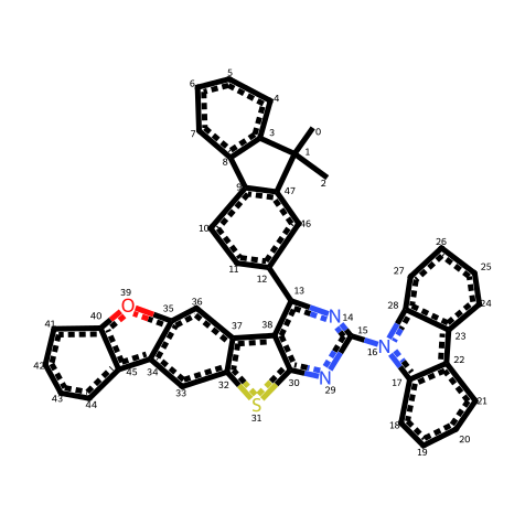 CC1(C)c2ccccc2-c2ccc(-c3nc(-n4c5ccccc5c5ccccc54)nc4sc5cc6c(cc5c34)oc3ccccc36)cc21